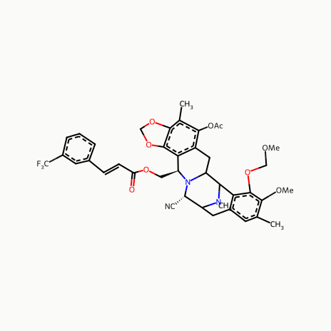 COCOc1c(OC)c(C)cc2c1C1C3Cc4c(OC(C)=O)c(C)c5c(c4[C@H](COC(=O)/C=C/c4cccc(C(F)(F)F)c4)N3[C@@H](C#N)C(C2)N1C)OCO5